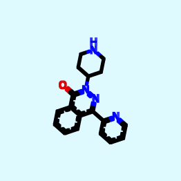 O=c1c2ccccc2c(-c2ccccn2)nn1C1CCNCC1